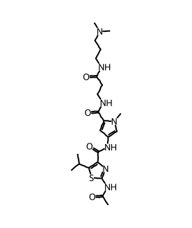 CC(=O)Nc1nc(C(=O)Nc2cc(C(=O)NCCC(=O)NCCCN(C)C)n(C)c2)c(C(C)C)s1